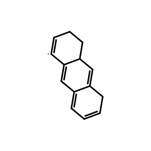 [C]1=CCCC2C=C3CC=CC=C3C=C12